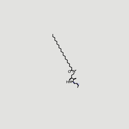 C=c1c(CCN(C)C(=O)CCCCCCCCCCCCCCCCCCC)c[nH]/c1=C/C=C\C